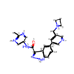 Cc1ncc(NC(=O)c2n[nH]c3ccc(-c4cncc(CN5CCC5)c4)cc23)cn1